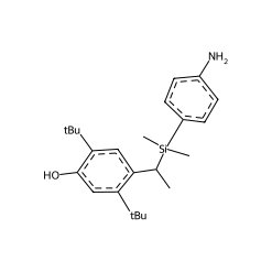 CC(c1cc(C(C)(C)C)c(O)cc1C(C)(C)C)[Si](C)(C)c1ccc(N)cc1